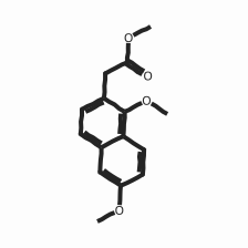 COC(=O)Cc1ccc2cc(OC)ccc2c1OC